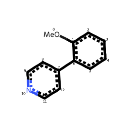 COc1ccccc1-c1[c]cncc1